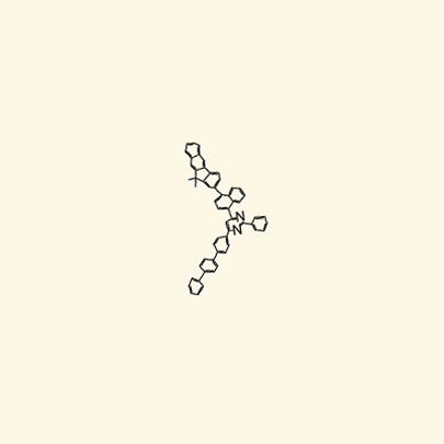 CC1(C)c2cc(-c3ccc(-c4cc(-c5ccc(-c6ccc(-c7ccccc7)cc6)cc5)nc(-c5ccccc5)n4)c4ccccc34)ccc2-c2cc3ccccc3cc21